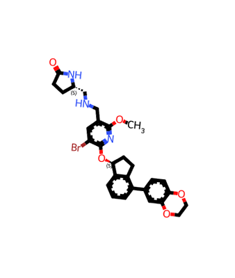 COc1nc(O[C@H]2CCc3c(-c4ccc5c(c4)OCCO5)cccc32)c(Br)cc1CNC[C@@H]1CCC(=O)N1